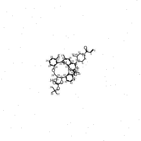 C=CC(=O)N1CCN(c2nc(=O)n3c4nc(c(C)cc24)-c2c(F)cccc2OCC(O)C(OC(=O)OC(C)(C)C)c2ccnc(C(C)C)c2-3)[C@@H](C)C1